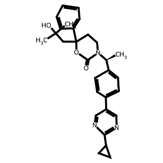 C[C@@H](c1ccc(-c2cnc(C3CC3)nc2)cc1)N1CCC(CC(C)(C)O)(c2ccccc2)OC1=O